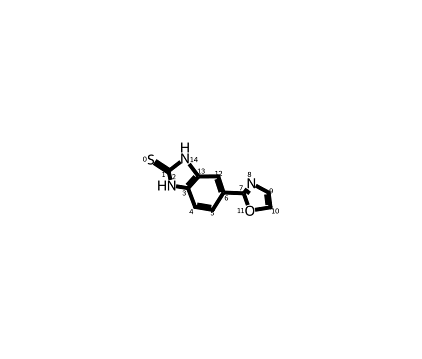 S=c1[nH]c2ccc(-c3ncco3)cc2[nH]1